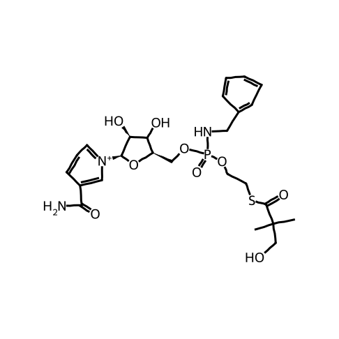 CC(C)(CO)C(=O)SCCOP(=O)(NCc1ccccc1)OC[C@H]1O[C@@H]([n+]2cccc(C(N)=O)c2)[C@@H](O)C1O